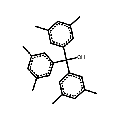 Cc1cc(C)cc(C(O)(c2cc(C)cc(C)c2)c2cc(C)cc(C)c2)c1